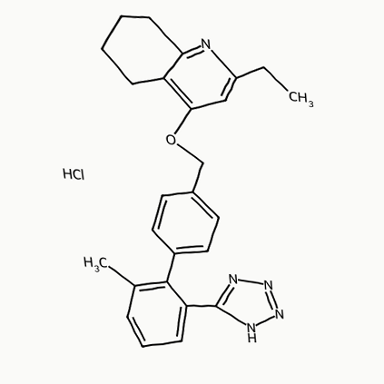 CCc1cc(OCc2ccc(-c3c(C)cccc3-c3nnn[nH]3)cc2)c2c(n1)CCCC2.Cl